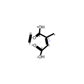 C/C(=C/C(=O)O)C(=O)O.C=C